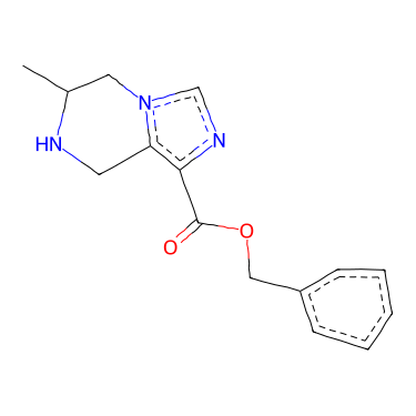 CC1Cn2cnc(C(=O)OCc3ccccc3)c2CN1